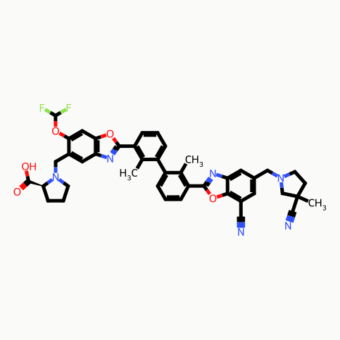 Cc1c(-c2nc3cc(CN4CCC[C@H]4C(=O)O)c(OC(F)F)cc3o2)cccc1-c1cccc(-c2nc3cc(CN4CCC(C)(C#N)C4)cc(C#N)c3o2)c1C